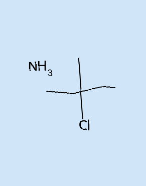 CC(C)(C)Cl.N